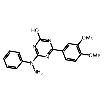 COc1ccc(-c2nc(O)nc(N(N)c3ccccc3)n2)cc1OC